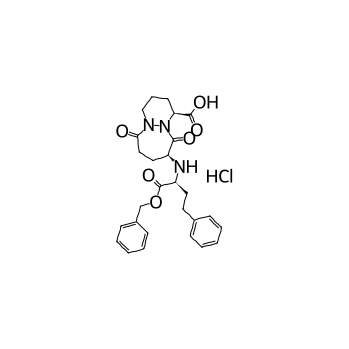 Cl.O=C(OCc1ccccc1)[C@H](CCc1ccccc1)N[C@H]1CCC(=O)N2CCC[C@@H](C(=O)O)N2C1=O